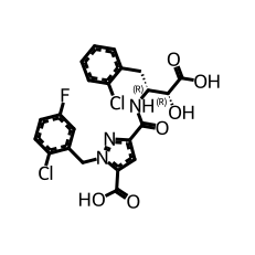 O=C(N[C@H](Cc1ccccc1Cl)[C@@H](O)C(=O)O)c1cc(C(=O)O)n(Cc2cc(F)ccc2Cl)n1